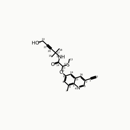 C#Cc1cnc2c(C)cc(OC(SC)C(=O)NC(C)(C)C#CCO)cc2c1